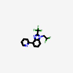 FC(F)Cn1c(C(F)(F)F)nc2c(-c3cc[c]cn3)cccc21